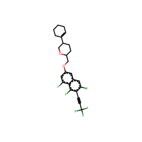 Fc1cc2cc(OCC3CCC(C4=CCCCC4)CO3)cc(F)c2c(F)c1C#CC(F)(F)F